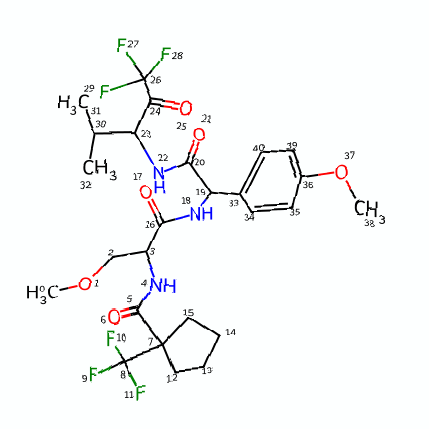 COCC(NC(=O)C1(C(F)(F)F)CCCC1)C(=O)NC(C(=O)NC(C(=O)C(F)(F)F)C(C)C)c1ccc(OC)cc1